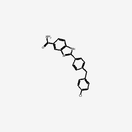 NC(=O)c1ccc2[nH]c(-c3ccc(Cc4ccc(Cl)cc4)cc3)nc2c1